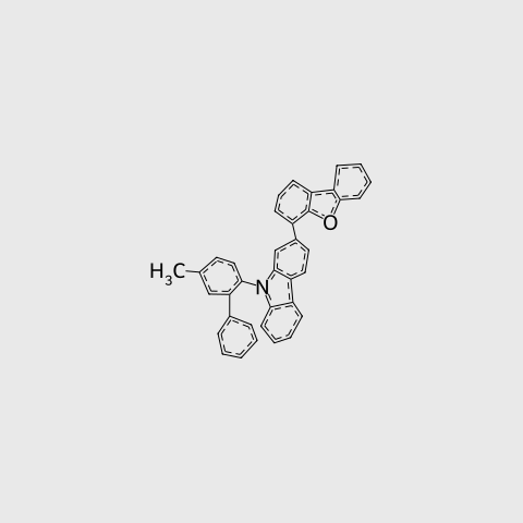 Cc1ccc(-n2c3ccccc3c3ccc(-c4cccc5c4oc4ccccc45)cc32)c(-c2ccccc2)c1